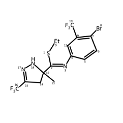 CCSC(=Nc1ccc(Br)c(C(F)(F)F)c1)C1(C)CC(C(F)(F)F)=NN1